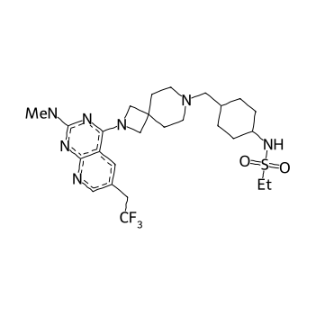 CCS(=O)(=O)NC1CCC(CN2CCC3(CC2)CN(c2nc(NC)nc4ncc(CC(F)(F)F)cc24)C3)CC1